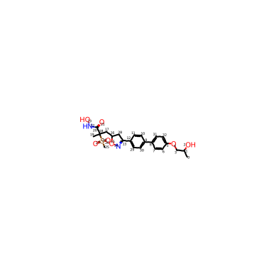 CC(O)COc1ccc(-c2ccc(C3=NOC(CC(C)(C(=O)NO)S(C)(=O)=O)C3)cc2)cc1